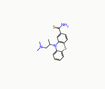 CC(CN(C)C)N1c2ccccc2Sc2ccc(C(N)=S)cc21